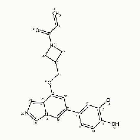 C=CC(=O)N1CC(COc2cc(-c3ccc(O)c(Cl)c3)cn3cncc23)C1